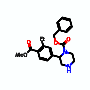 CCc1cc(C2CNCCN2C(=O)OCc2ccccc2)ccc1C(=O)OC